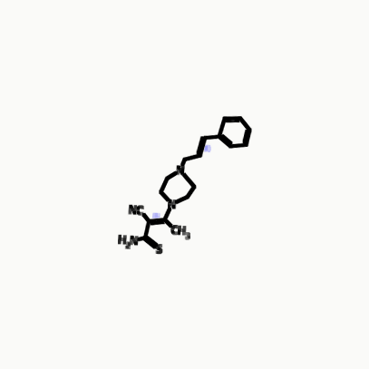 C/C(=C(/C#N)C(N)=S)N1CCN(C/C=C/c2ccccc2)CC1